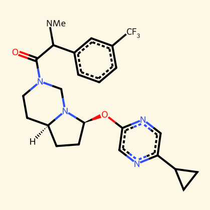 CNC(C(=O)N1CC[C@@H]2CC[C@H](Oc3cnc(C4CC4)cn3)N2C1)c1cccc(C(F)(F)F)c1